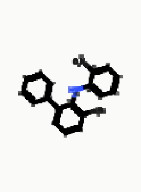 CC(C)(C)c1cccc(-c2ccccc2)c1Nc1ccccc1[N+](=O)[O-]